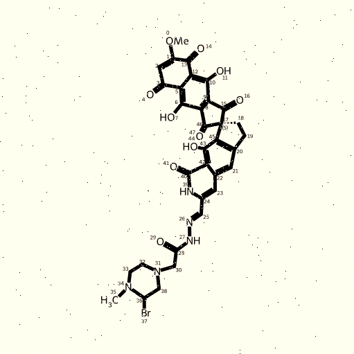 COC1=CC(=O)c2c(O)c3c(c(O)c2C1=O)C(=O)[C@]1(CCc2cc4cc(C=NNC(=O)CN5CCN(C)C(Br)C5)[nH]c(=O)c4c(O)c21)C3=O